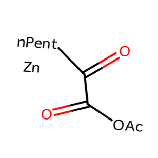 CCCCCC(=O)C(=O)OC(C)=O.[Zn]